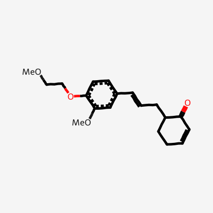 COCCOc1ccc(C=CCC2CCC=CC2=O)cc1OC